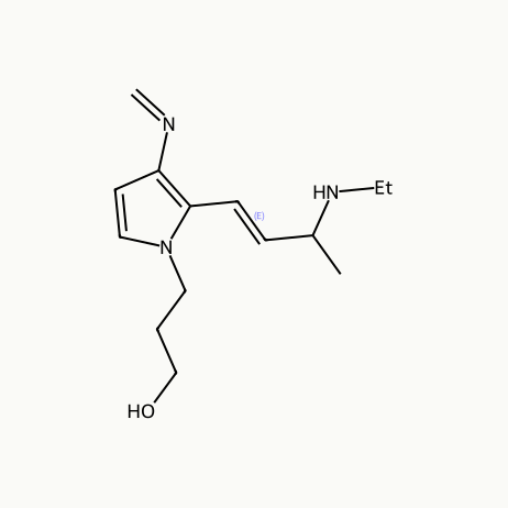 C=Nc1ccn(CCCO)c1/C=C/C(C)NCC